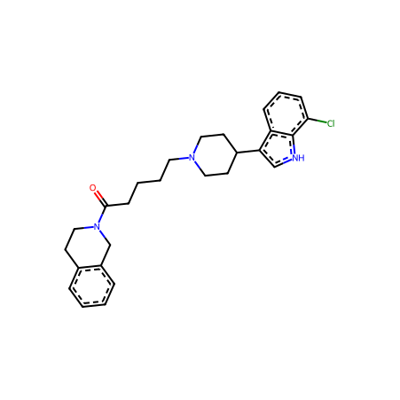 O=C(CCCCN1CCC(c2c[nH]c3c(Cl)cccc23)CC1)N1CCc2ccccc2C1